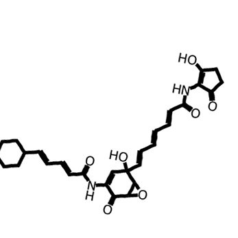 O=C(/C=C/C=C/C1CCCCC1)NC1=CC(O)(/C=C/C=C/C=C/C(=O)NC2=C(O)CCC2=O)C2OC2C1=O